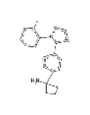 Cc1ccccc1-n1ccnc1-c1ccc(C2(N)CCC2)cc1